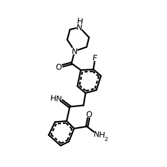 N=C(Cc1ccc(F)c(C(=O)N2CCNCC2)c1)c1ccccc1C(N)=O